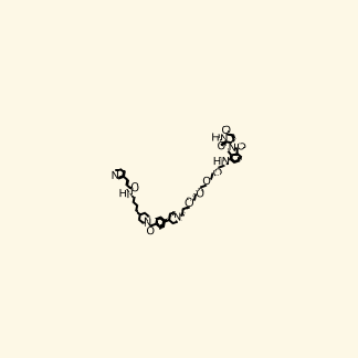 O=C(/C=C/c1cccnc1)NCCCCC1CCN(C(=O)c2ccc(C3CCN(CCCOCCOCCOCCOCCNc4cccc5c4CN(C4CCC(=O)NC4=O)C5=O)CC3)cc2)CC1